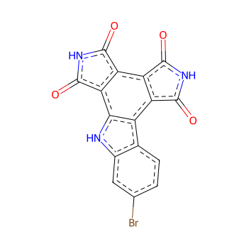 O=c1[nH]c(=O)c2c1c1[nH]c3cc(Br)ccc3c1c1c(=O)[nH]c(=O)c21